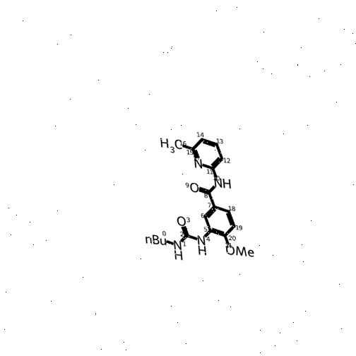 CCCCNC(=O)Nc1cc(C(=O)Nc2cccc(C)n2)ccc1OC